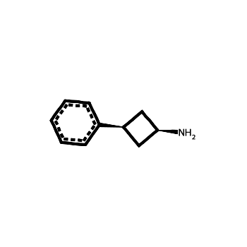 N[C@H]1C[C@@H](c2ccccc2)C1